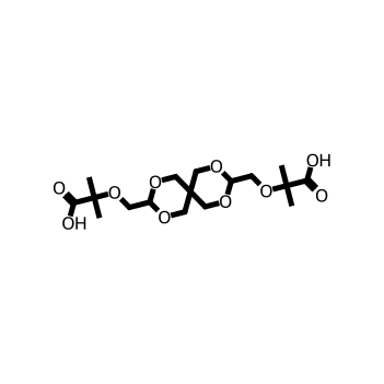 CC(C)(OCC1OCC2(CO1)COC(COC(C)(C)C(=O)O)OC2)C(=O)O